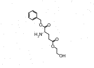 N[C@@H](CCC(=O)OCCO)C(=O)OCc1ccccc1